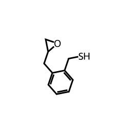 SCc1ccccc1CC1CO1